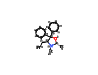 CC[C@H]1OC(c2ccccc2)(c2ccccc2)[C@H](CC(C)C)N1CC